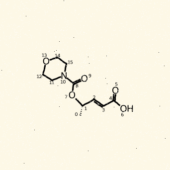 C[C@@H](C=CC(=O)O)OC(=O)N1CCOCC1